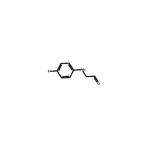 O=[C]CNc1ccc(F)cc1